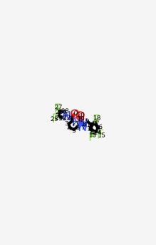 O=C(C1CCCc2nn(Cc3cc(F)c(F)cc3F)c(=O)n21)N1CC(F)C(F)C1